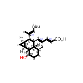 CCCC/C=C(\C)[C@H]1[C@@H](/C=C/C=C/C(=O)O)[C@H]2[C@@H]([C@H]3C[C@]31C)[C@@H](O)CC[C@@H]2C